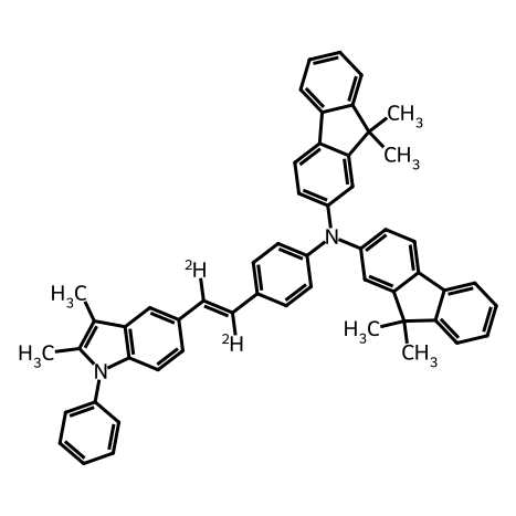 [2H]/C(=C(/[2H])c1ccc2c(c1)c(C)c(C)n2-c1ccccc1)c1ccc(N(c2ccc3c(c2)C(C)(C)c2ccccc2-3)c2ccc3c(c2)C(C)(C)c2ccccc2-3)cc1